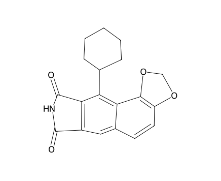 O=C1NC(=O)c2c1cc1ccc3c(c1c2C1CCCCC1)OCO3